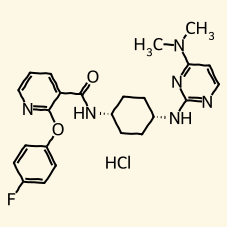 CN(C)c1ccnc(N[C@H]2CC[C@@H](NC(=O)c3cccnc3Oc3ccc(F)cc3)CC2)n1.Cl